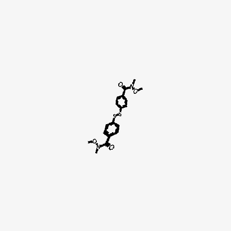 CON(C)C(=O)c1ccc(SSc2ccc(C(=O)N(C)OC)cc2)cc1